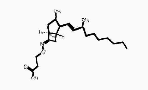 CCCCCCCC(O)C=CC1C(O)C[C@@H]2C(=NOCCC(=O)O)C[C@@H]12